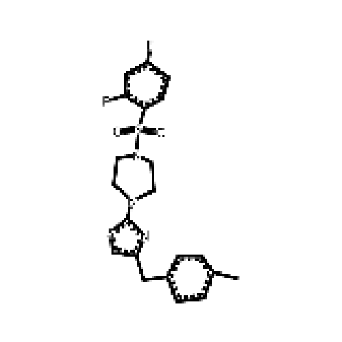 Cc1ccc(Cc2csc(N3CCN(S(=O)(=O)c4ccc(F)cc4F)CC3)n2)cc1